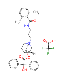 Cc1cccc(C)c1C(=O)NCCC[N+]12CCC(CC1)[C@@H](OC(=O)C(O)(c1ccccc1)c1ccccc1)C2.O=C([O-])C(F)(F)F